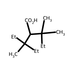 CCC(C)(C)C(C(=O)O)C(C)(CC)CC